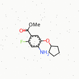 COC(=O)c1cc(OC2CCCC2)c(N)cc1F